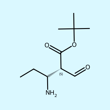 CCC(N)[C@@H](C=O)C(=O)OC(C)(C)C